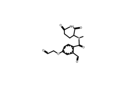 CN(C(=O)c1ccc(OCC=O)cc1C=O)C1CCC(=O)NC1=O